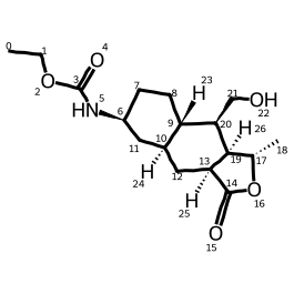 CCOC(=O)N[C@H]1CC[C@H]2[C@H](C1)C[C@@H]1C(=O)O[C@@H](C)[C@@H]1[C@@H]2CO